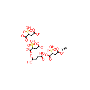 O=C(O)CCC(=O)O.O=C([O-])CC(C(=O)[O-])S(=O)(=O)O.O=C([O-])CC(C(=O)[O-])S(=O)(=O)O.O=C([O-])CC(C(=O)[O-])S(=O)(=O)O.[Y+3].[Y+3]